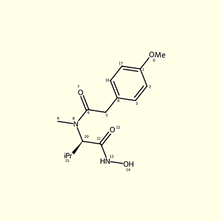 COc1ccc(CC(=O)N(C)[C@@H](C(=O)NO)C(C)C)cc1